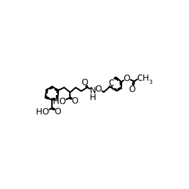 CC(=O)Oc1ccc(CONC(=O)CCC(Cc2cccc(C(=O)O)c2)C(=O)O)cc1